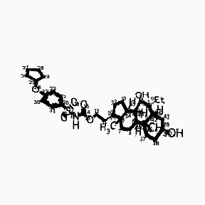 CC[C@H]1[C@@H](O)[C@@H]2[C@H](CC[C@]3(C)[C@@H](CCOC(=O)NS(=O)(=O)c4ccc(OC5CCCC5)cc4)CC[C@@H]23)[C@@]2(C)CC[C@@H](O)C[C@@H]12